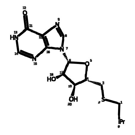 CC(C)CSC[C@H]1O[C@@H](n2cnc3c(=O)[nH]cnc32)[C@H](O)[C@@H]1O